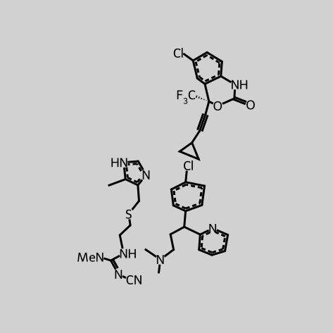 CN(C)CCC(c1ccc(Cl)cc1)c1ccccn1.CN/C(=N/C#N)NCCSCc1nc[nH]c1C.O=C1Nc2ccc(Cl)cc2[C@@](C#CC2CC2)(C(F)(F)F)O1